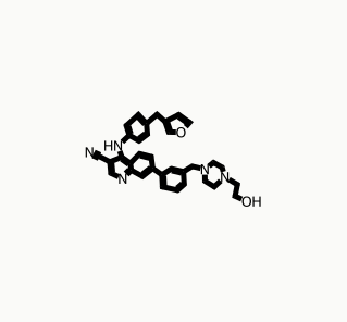 N#Cc1cnc2cc(-c3cccc(CN4CCN(CCO)CC4)c3)ccc2c1Nc1ccc(Cc2ccoc2)cc1